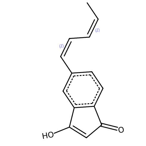 C/C=C\C=C/c1ccc2c(c1)C(O)=CC2=O